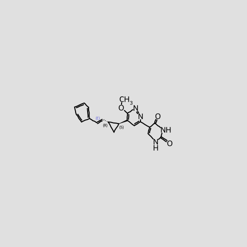 COc1nnc(-c2c[nH]c(=O)[nH]c2=O)cc1[C@H]1C[C@@H]1/C=C/c1ccccc1